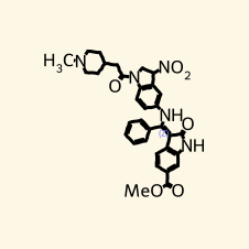 COC(=O)c1ccc2c(c1)NC(=O)/C2=C(\Nc1ccc2c(c1)C([N+](=O)[O-])CN2C(=O)CC1CCN(C)CC1)c1ccccc1